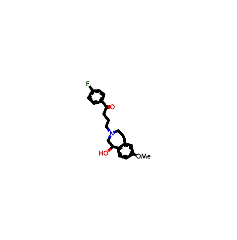 COc1ccc2c(c1)CCN(CCCC(=O)c1ccc(F)cc1)CC2O